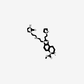 COC(=O)N1c2ccc3c(nc(CCn4cccn4)n3CCNCCN3CCNC3=O)c2CC[C@@H]1C